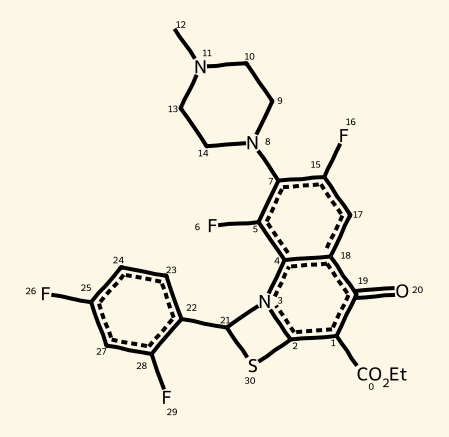 CCOC(=O)c1c2n(c3c(F)c(N4CCN(C)CC4)c(F)cc3c1=O)C(c1ccc(F)cc1F)S2